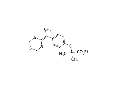 CCOC(=O)C(C)(C)Oc1ccc(C(C)=C2SCSCS2)cc1